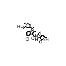 COc1cc(C)[nH]c(=O)c1CNC(=O)c1c(C)n(C(C)C2CCN(C)C(CO)C2)c2ccccc12.Cl